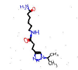 CC(C)n1cc(CCC(=O)NCCCCCC(N)=O)nn1